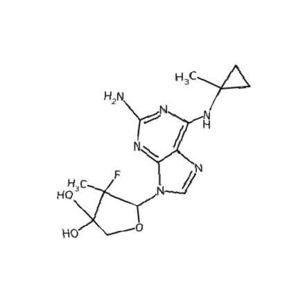 CC1(Nc2nc(N)nc3c2ncn3C2OCC(O)(O)C2(C)F)CC1